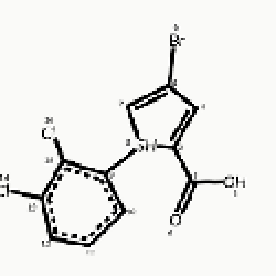 O=C(O)C1=CC(Br)=C[SH]1c1cccc(Cl)c1Cl